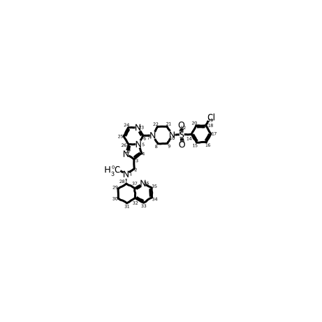 CN(Cc1cn2c(N3CCN(S(=O)(=O)c4cccc(Cl)c4)CC3)nccc2n1)[C@H]1CCCc2cccnc21